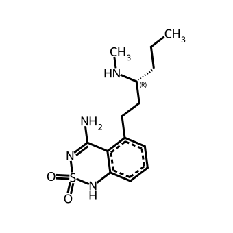 CCC[C@H](CCc1cccc2c1C(N)=NS(=O)(=O)N2)NC